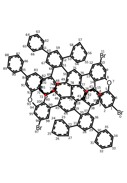 Brc1ccc2c(c1)Oc1cc(Br)cc3c1B2c1cc2c(-c4c(-c5ccccc5)cc(-c5ccccc5)cc4-c4ccccc4)cc4c5c(cc6c(-c7c(-c8ccccc8)cc(-c8ccccc8)cc7-c7ccccc7)cc-3c1c6c25)B1c2ccc(-c3ccccc3)cc2Oc2cc(Br)cc-4c21